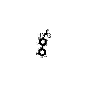 CC(=O)Nc1c[c]c(-c2[c]cccc2)cc1